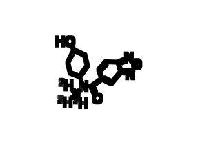 [2H]C([2H])([2H])N(C(=O)c1ccc2nonc2c1)[C@H]1CC[C@H](O)CC1